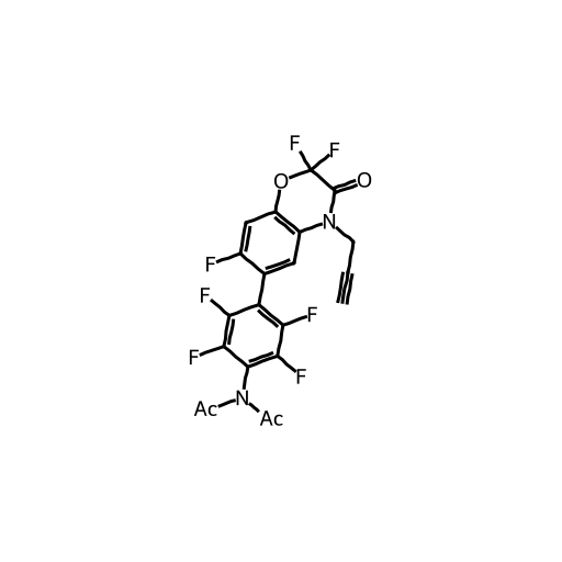 C#CCN1C(=O)C(F)(F)Oc2cc(F)c(-c3c(F)c(F)c(N(C(C)=O)C(C)=O)c(F)c3F)cc21